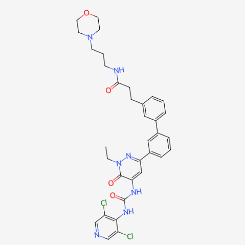 CCn1nc(-c2cccc(-c3cccc(CCC(=O)NCCCN4CCOCC4)c3)c2)cc(NC(=O)Nc2c(Cl)cncc2Cl)c1=O